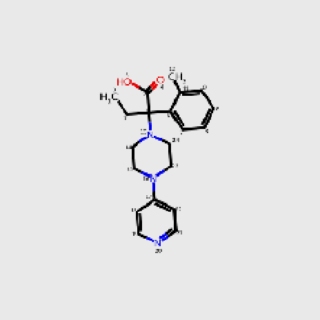 CCC(C(=O)O)(c1ccccc1C)N1CCN(c2ccncc2)CC1